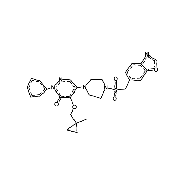 CC1(COc2c(N3CCN(S(=O)(=O)Cc4ccc5ncoc5c4)CC3)cnn(-c3ccccc3)c2=O)CC1